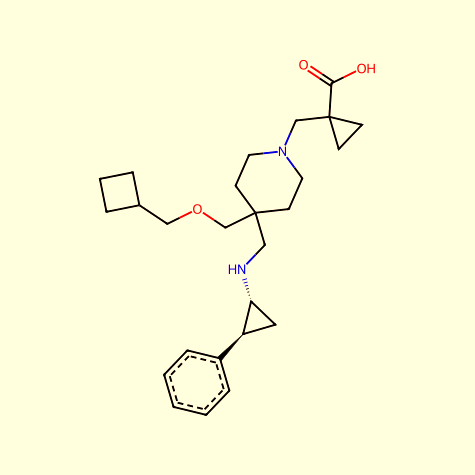 O=C(O)C1(CN2CCC(CN[C@@H]3C[C@H]3c3ccccc3)(COCC3CCC3)CC2)CC1